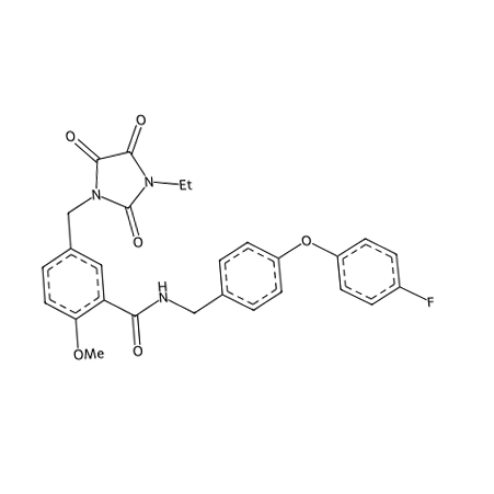 CCN1C(=O)C(=O)N(Cc2ccc(OC)c(C(=O)NCc3ccc(Oc4ccc(F)cc4)cc3)c2)C1=O